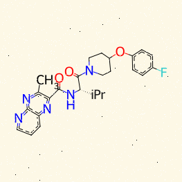 Cc1nc2ncccc2nc1C(=O)N[C@H](C(=O)N1CCC(Oc2ccc(F)cc2)CC1)C(C)C